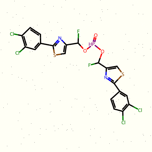 O=[PH](OC(F)c1csc(-c2ccc(Cl)c(Cl)c2)n1)OC(F)c1csc(-c2ccc(Cl)c(Cl)c2)n1